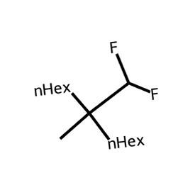 CCCCCCC(C)(CCCCCC)C(F)F